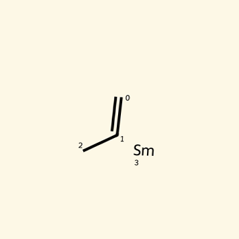 C=CC.[Sm]